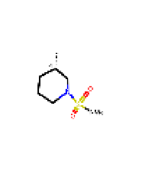 CNS(=O)(=O)N1CCC[C@H](C)C1